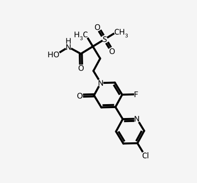 CC(CCn1cc(F)c(-c2ccc(Cl)cn2)cc1=O)(C(=O)NO)S(C)(=O)=O